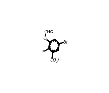 O=COc1cc(Br)cc(C(=O)O)c1F